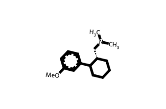 COc1cccc(C2CCCC[C@H]2CN(C)C)c1